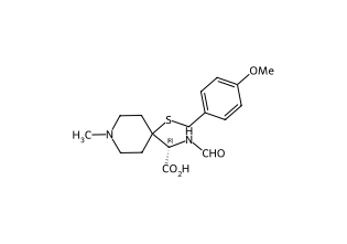 COc1ccc(CSC2([C@H](NC=O)C(=O)O)CCN(C)CC2)cc1